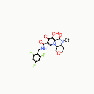 CCN1C(=O)c2c(O)c(=O)c(C(=O)NCc3c(F)cc(F)cc3F)cn2C2COCCC21